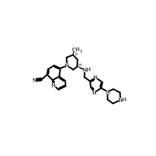 C[C@H]1C[C@@H](NCc2cnc(N3CCNCC3)cn2)CN(c2ccc(C#N)c3ncccc23)C1